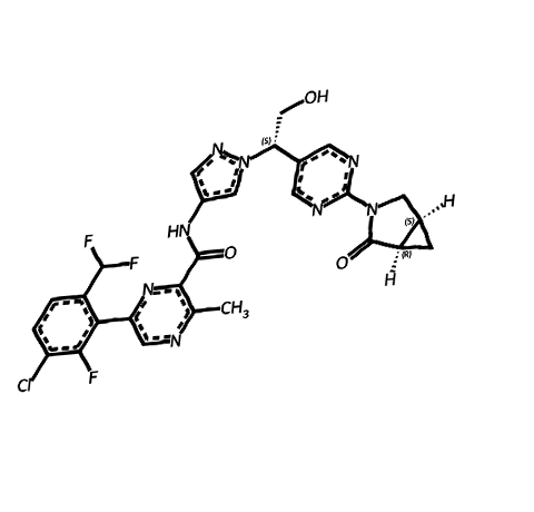 Cc1ncc(-c2c(C(F)F)ccc(Cl)c2F)nc1C(=O)Nc1cnn([C@H](CO)c2cnc(N3C[C@H]4C[C@H]4C3=O)nc2)c1